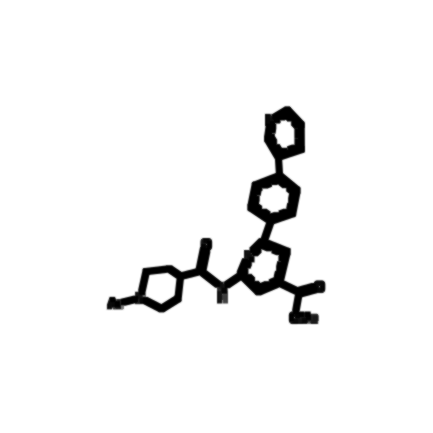 COC(=O)c1cc(NC(=O)C2CCN(C(C)=O)CC2)nc(-c2ccc(-c3cccnc3)cc2)c1